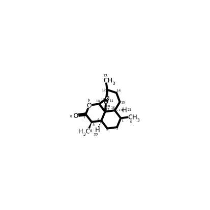 CC1CC[C@H]2[C@@H](C)C(=O)OC3OC4(C)CC[C@@H]1C32OO4